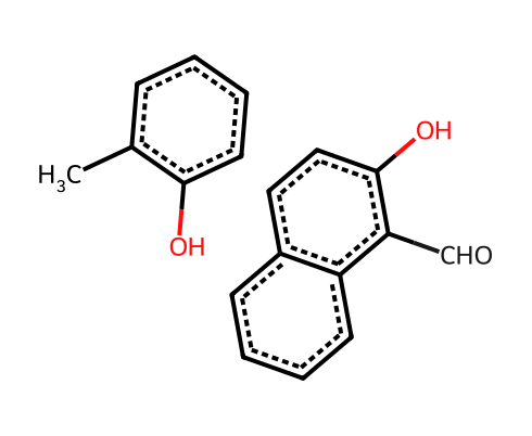 Cc1ccccc1O.O=Cc1c(O)ccc2ccccc12